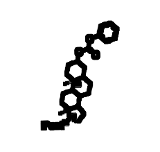 CCC[C@@H](C)[C@H]1CCC2C3CCC4CC(OC(=O)Oc5ccccc5)CC[C@]4(C)C3CC[C@@]21C